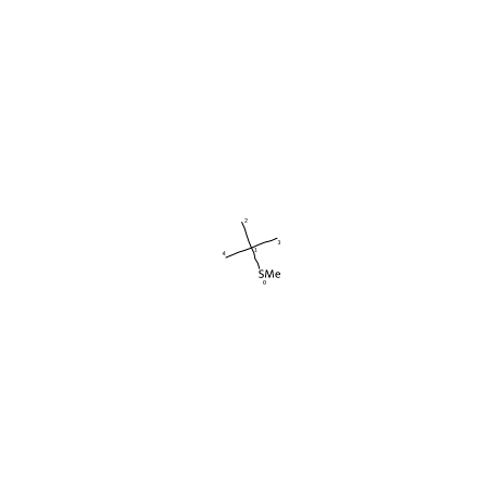 [CH2]SC(C)(C)C